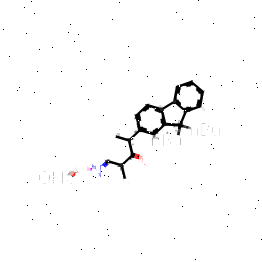 CCCCC1(CCCC)c2ccccc2-c2ccc(C(C)C(=O)C(C)/C=N/OC=O)cc21